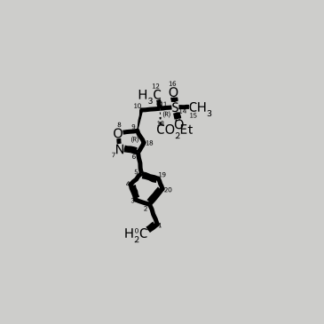 C=Cc1ccc(C2=NO[C@@H](C[C@](C)(C(=O)OCC)S(C)(=O)=O)C2)cc1